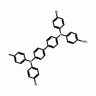 CCCCc1ccc(N(c2ccc(Br)cc2)c2ccc(-c3ccc(N(c4ccc(C)cc4)c4ccc(Br)cc4)cc3)cc2)cc1